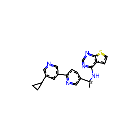 C[C@H](Nc1ncnc2sccc12)c1ccc(-c2cncc(C3CC3)c2)nc1